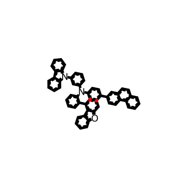 c1cc(N(c2ccc(-c3ccc4c(ccc5ccccc54)c3)cc2)c2ccccc2-c2cccc3oc4ccccc4c23)cc(-n2c3ccccc3c3ccccc32)c1